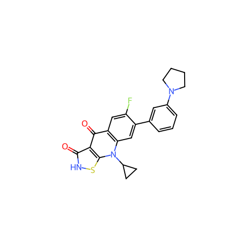 O=c1[nH]sc2c1c(=O)c1cc(F)c(-c3cccc(N4CCCC4)c3)cc1n2C1CC1